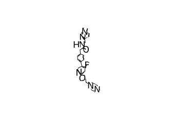 CN1CCN(CCOc2cc(F)c(-c3ccc(CC(=O)NCc4ccncn4)cc3)cn2)CC1